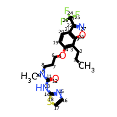 CCCc1c(OCCCN(C)C(=O)Nc2nccs2)ccc2c(C(F)(F)F)noc12